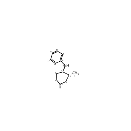 C[C@@H]1CNCC[C@H]1Nc1ccccc1